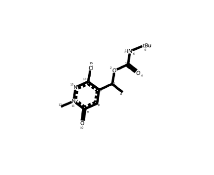 CC(OC(=O)NC(C)(C)C)c1cc(=O)n(C)nc1Cl